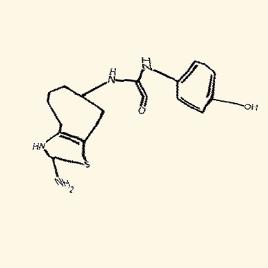 NC1NC2=C(CC(NC(=O)Nc3ccc(O)cc3)CC2)S1